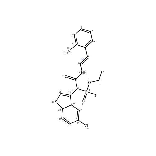 CCOP(C)(=O)C(C(=O)N/C=C/c1ccccc1N)C1=CSC2C=CC(Cl)=CC12